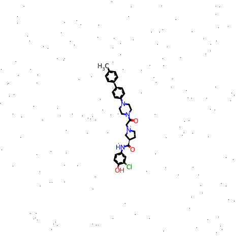 Cc1ccc(-c2ccc(N3CCN(C(=O)CN4CC[C@@H](C(=O)Nc5ccc(O)c(Cl)c5)C4)CC3)cc2)cc1